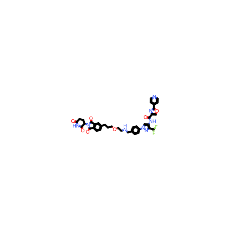 O=C1CCC(N2C(=O)c3ccc(CCCOCCNCc4ccc(-n5cc(NC(=O)c6coc(-c7ccncc7)n6)c(C(F)F)n5)cc4)cc3C2=O)C(=O)N1